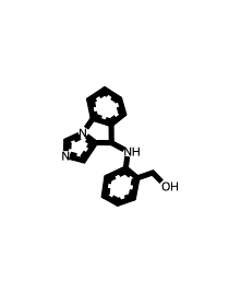 OCc1ccccc1NC1c2ccccc2-n2cncc21